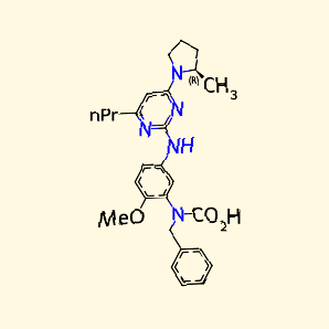 CCCc1cc(N2CCC[C@H]2C)nc(Nc2ccc(OC)c(N(Cc3ccccc3)C(=O)O)c2)n1